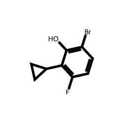 Oc1c(Br)ccc(F)c1C1CC1